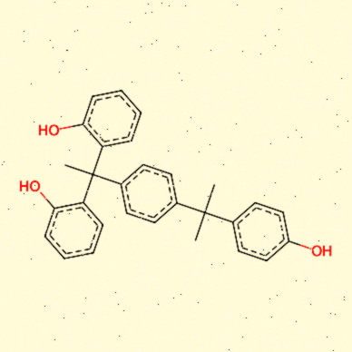 CC(C)(c1ccc(O)cc1)c1ccc(C(C)(c2ccccc2O)c2ccccc2O)cc1